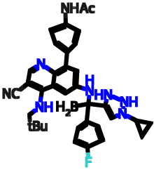 BC(Nc1cc(-c2ccc(NC(C)=O)cc2)c2ncc(C#N)c(NCC(C)(C)C)c2c1)(C1=CN(C2CC2)NN1)c1ccc(F)cc1